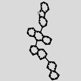 c1ccc2cc(-c3ccc4c(-c5c6ccccc6c(-c6ccc7c(c6)oc6ccccc67)c6ccccc56)cccc4c3)ccc2c1